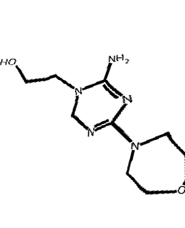 NC1=NC(N2CCOCC2)=NCN1CCO